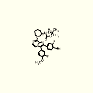 COc1ccc(-c2c(-c3ccc(C#N)c(F)c3)nc3c(N4CCCC[C@@H](NC(=O)OC(C)(C)C)C4)nccn23)cc1F